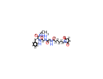 CCNC(=O)[C@H](Cc1ccccc1)NC(=O)CNC(=O)CNC(=O)CCCCCN1C(=O)C=CC1=O